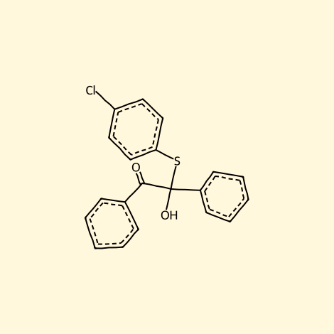 O=C(c1ccccc1)C(O)(Sc1ccc(Cl)cc1)c1ccccc1